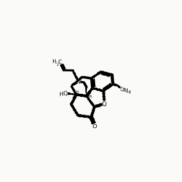 C=CCN1CC[C@@]23c4c5ccc(OC)c4OC2C(=O)CC[C@]3(O)C1C5